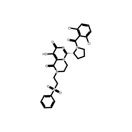 O=C1c2c(O)c(=O)nc([C@H]3CCCN3C(=O)c3c(Cl)cccc3Cl)n2CCN1CCS(=O)(=O)c1ccccc1